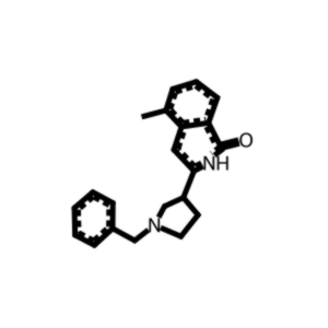 Cc1cccc2c(=O)[nH]c(C3CCN(Cc4ccccc4)C3)cc12